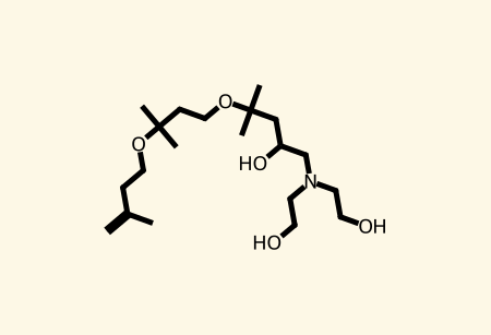 C=C(C)CCOC(C)(C)CCOC(C)(C)CC(O)CN(CCO)CCO